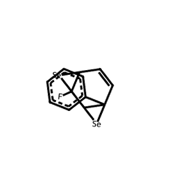 FC12[Se]C1C=CC1(c3ccccc3)[Se]C12